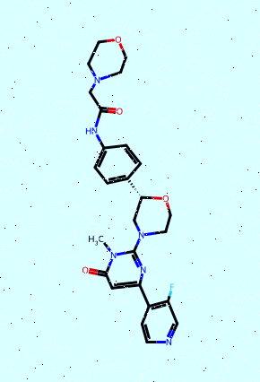 Cn1c(N2CCO[C@@H](c3ccc(NC(=O)CN4CCOCC4)cc3)C2)nc(-c2ccncc2F)cc1=O